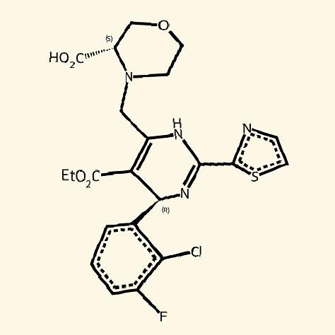 CCOC(=O)C1=C(CN2CCOC[C@H]2C(=O)O)NC(c2nccs2)=N[C@H]1c1cccc(F)c1Cl